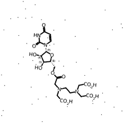 O=C(O)CN(CCN(CC(=O)O)CC(=O)OC[C@H]1O[C@@H](n2ccc(=O)[nH]c2=O)[C@H](O)[C@@H]1O)CC(=O)O